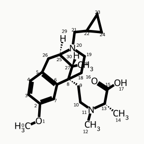 COc1ccc2c(c1)[C@]1(CCN(C)[C@@H](C)C(=O)O)CCN(CC3CC3)[C@H](C2)[C@@H]1C